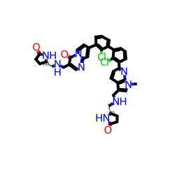 Cn1cc(CNC[C@@H]2CCC(=O)N2)c2ccc(-c3cccc(-c4cccc(-c5ccn6c(=O)c(CNC[C@@H]7CCC(=O)N7)cnc6c5)c4Cl)c3Cl)nc21